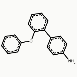 Nc1ccc(-c2ccccc2Oc2ccccc2)cc1